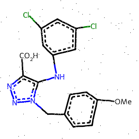 COc1ccc(Cn2nnc(C(=O)O)c2Nc2cc(Cl)cc(Cl)c2)cc1